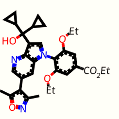 CCOC(=O)c1cc(OCC)c(-n2cc(C(O)(C3CC3)C3CC3)c3ncc(-c4c(C)noc4C)cc32)c(OCC)c1